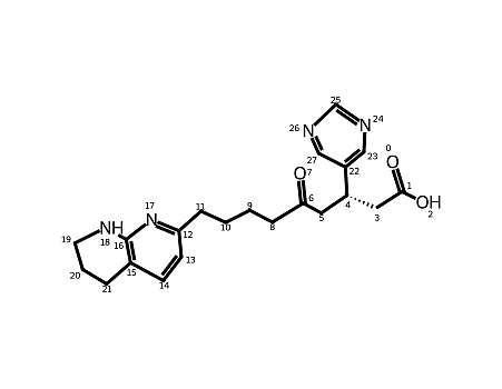 O=C(O)C[C@H](CC(=O)CCCCc1ccc2c(n1)NCCC2)c1cncnc1